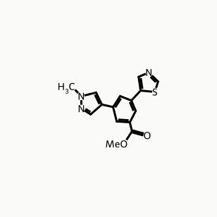 COC(=O)c1cc(-c2cnn(C)c2)cc(-c2cncs2)c1